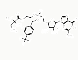 CCC(C)(C)C(=O)SCCOP(=O)(NCc1ccc(C(F)(F)F)cc1)OC[C@H]1OC(n2cnc3c(=O)[nH]c(N)nc32)[C@@](C)(O)[C@H]1O